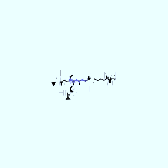 C=C\C(OCC(=O)NC1CC1)=C(/C=C(C)/C=C/C(=O)NCCCCC(N)C(=O)OC)OCC(=O)NC1CC1